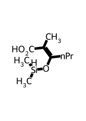 CCCC(O[SiH](C)C)=C(C)C(=O)O